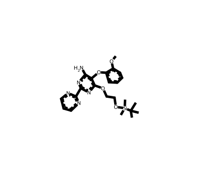 COc1ccccc1Oc1c(N)nc(-c2ncccn2)nc1OCCO[Si](C)(C)C(C)(C)C